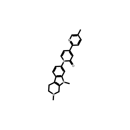 Cc1ccc(-c2ccn(-c3ccc4c5c(n(C)c4c3)CN(C)CC5)c(=O)c2)nc1